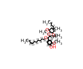 C=CCCC1(C)CC(OC)C(OC(=C)C(OCCCCCC/C=C\CC)c2ccc(O)c(OC)c2)C(OC)C1